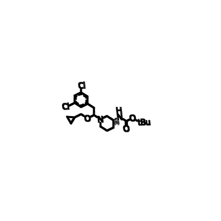 CC(C)(C)OC(=O)N[C@@H]1CCCN(C(Cc2cc(Cl)cc(Cl)c2)OCC2CC2)C1